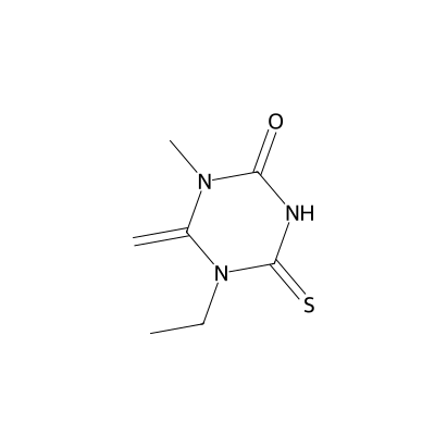 C=C1N(C)C(=O)NC(=S)N1CC